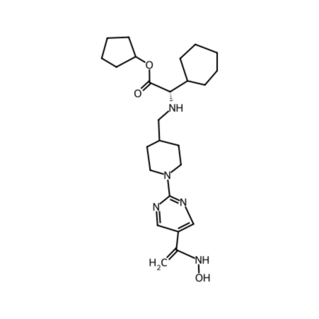 C=C(NO)c1cnc(N2CCC(CN[C@H](C(=O)OC3CCCC3)C3CCCCC3)CC2)nc1